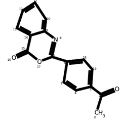 CC(=O)c1ccc(-c2nc3ccccc3c(=O)o2)cc1